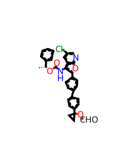 C[C@@H](OC(=O)Nc1c(-c2ccc(-c3ccc(C4(OC=O)CC4)cc3)cc2)oc2ncc(Cl)cc12)c1ccccc1